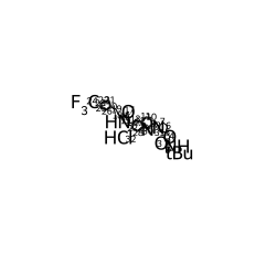 CC(C)(C)NC(=O)OC1CCN(c2ccc3cc(NC(=O)CCc4ccc(C(F)(F)F)cc4)ccc3n2)C1.Cl